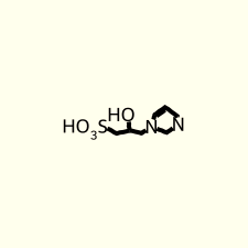 O=S(=O)(O)CC(O)CN1C=CC=NC1